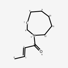 CC=CC(=O)N1CCCCCCC1